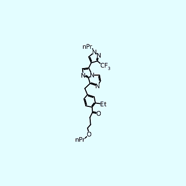 CCCOCCCC(=O)c1ccc(Cc2nccn3c(-c4cn(CCC)nc4C(F)(F)F)cnc23)cc1CC